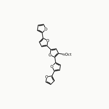 CCCCCCCCc1cc(-c2ccc(-c3ccco3)o2)oc1-c1ccc(-c2ccco2)o1